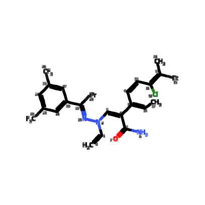 C=CN(/C=C(C(N)=O)/C(/C=C\C(Cl)=C(/C)CC)=C/C)/N=C(/c1cc(C(F)(F)F)cc(C(F)(F)F)c1)C(C)C